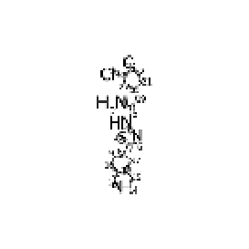 NC(CNc1ncc(-c2ccc3cnccc3c2)s1)Cc1ccc(Cl)c(Cl)c1